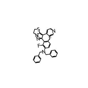 Fc1ccc(N(Cc2ccccc2)Cc2ccccc2)c(F)c1-c1nn2c(c1-c1ccncc1)SCC2